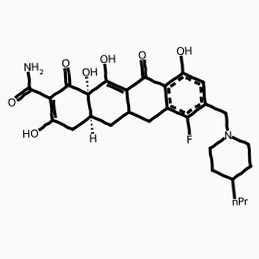 CCCC1CCN(Cc2cc(O)c3c(c2F)CC2C[C@H]4CC(O)=C(C(N)=O)C(=O)[C@@]4(O)C(O)=C2C3=O)CC1